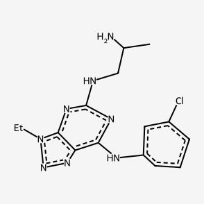 CCn1nnc2c(Nc3cccc(Cl)c3)nc(NCC(C)N)nc21